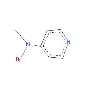 CN(Br)c1ccncc1